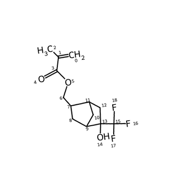 C=C(C)C(=O)OCC1CC2CC1CC2(O)C(F)(F)F